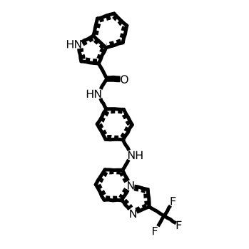 O=C(Nc1ccc(Nc2cccc3nc(C(F)(F)F)cn23)cc1)c1c[nH]c2ccccc12